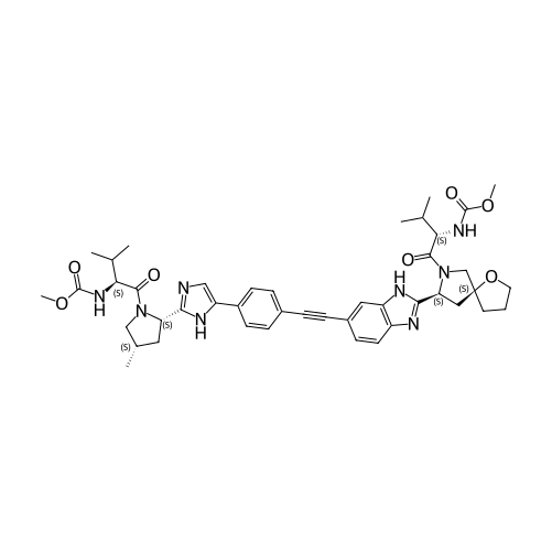 COC(=O)N[C@H](C(=O)N1C[C@@H](C)C[C@H]1c1ncc(-c2ccc(C#Cc3ccc4nc([C@@H]5C[C@@]6(CCCO6)CN5C(=O)[C@@H](NC(=O)OC)C(C)C)[nH]c4c3)cc2)[nH]1)C(C)C